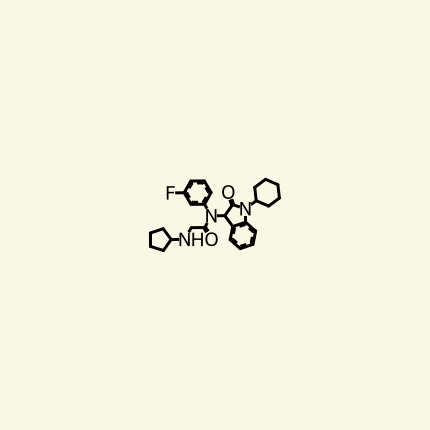 O=C1C(N(C(=O)CNC2CCCC2)c2cccc(F)c2)c2ccccc2N1C1CCCCC1